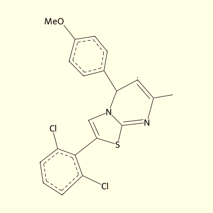 COc1ccc(C2[C]=C(C)N=C3SC(c4c(Cl)cccc4Cl)=CN32)cc1